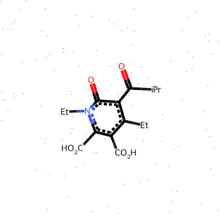 CCc1c(C(=O)O)c(C(=O)O)n(CC)c(=O)c1C(=O)C(C)C